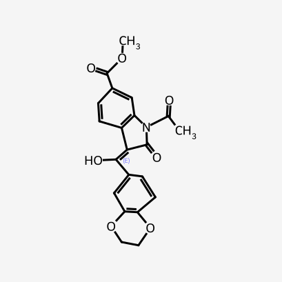 COC(=O)c1ccc2c(c1)N(C(C)=O)C(=O)/C2=C(/O)c1ccc2c(c1)OCCO2